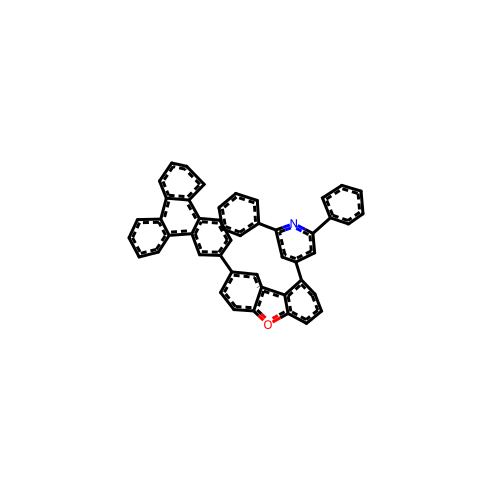 c1ccc(-c2cc(-c3cccc4oc5ccc(-c6ccc7c8ccccc8c8ccccc8c7c6)cc5c34)cc(-c3ccccc3)n2)cc1